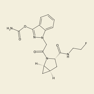 NC(=O)Oc1nn(CC(=O)N2[C@@H]3C[C@@H]3C[C@H]2C(=O)NCCF)c2ccccc12